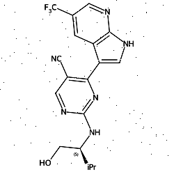 CC(C)[C@@H](CO)Nc1ncc(C#N)c(-c2c[nH]c3ncc(C(F)(F)F)cc23)n1